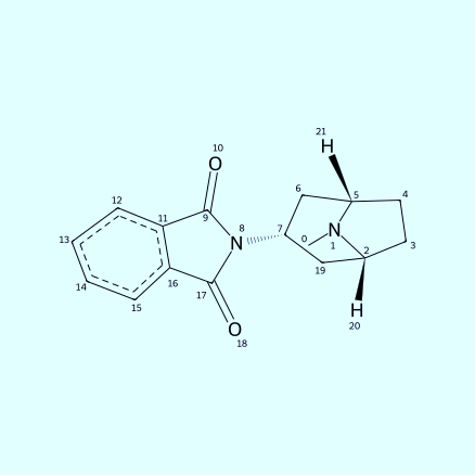 CN1[C@@H]2CC[C@H]1C[C@@H](N1C(=O)c3ccccc3C1=O)C2